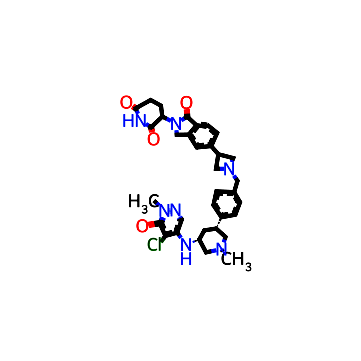 CN1C[C@H](Nc2cnn(C)c(=O)c2Cl)C[C@H](c2ccc(CN3CC(c4ccc5c(c4)CN(C4CCC(=O)NC4=O)C5=O)C3)cc2)C1